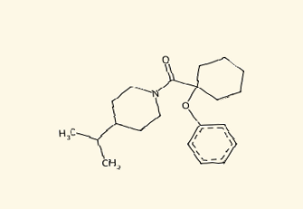 CC(C)C1CCN(C(=O)C2(Oc3ccccc3)CCCCC2)CC1